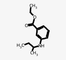 CCOC(=O)c1cccc(NC(C)CC)c1